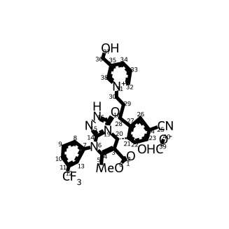 COC(=O)C1=C(C)N(c2cccc(C(F)(F)F)c2)c2n[nH]c(=O)n2[C@@H]1c1ccc(C#N)cc1CCC[n+]1cccc(CO)c1.O=C[O-]